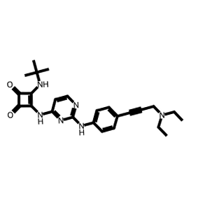 CCN(CC)CC#Cc1ccc(Nc2nccc(Nc3c(NC(C)(C)C)c(=O)c3=O)n2)cc1